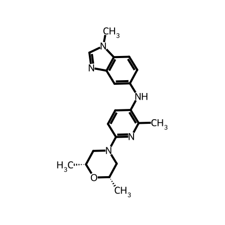 Cc1nc(N2C[C@@H](C)O[C@@H](C)C2)ccc1Nc1ccc2c(c1)ncn2C